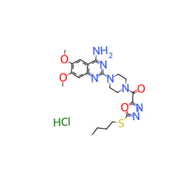 CCCCSc1nnc(C(=O)N2CCN(c3nc(N)c4cc(OC)c(OC)cc4n3)CC2)o1.Cl